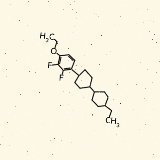 CCOc1ccc(C2CCC(C3CCC(CC)CC3)CC2)c(F)c1F